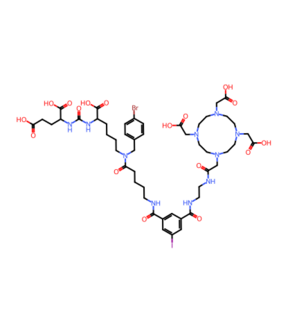 O=C(O)CCC(NC(=O)NC(CCCCN(Cc1ccc(Br)cc1)C(=O)CCCCNC(=O)c1cc(I)cc(C(=O)NCCNC(=O)CN2CCN(CC(=O)O)CCN(CC(=O)O)CCN(CC(=O)O)CC2)c1)C(=O)O)C(=O)O